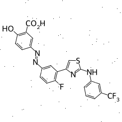 O=C(O)c1cc(N=Nc2ccc(F)c(-c3csc(Nc4cccc(C(F)(F)F)c4)n3)c2)ccc1O